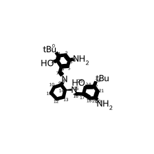 CC(C)(C)c1cc(N)cc(/C=N/C2CCCC[C@@H]2/N=C/c2cc(N)cc(C(C)(C)C)c2O)c1O